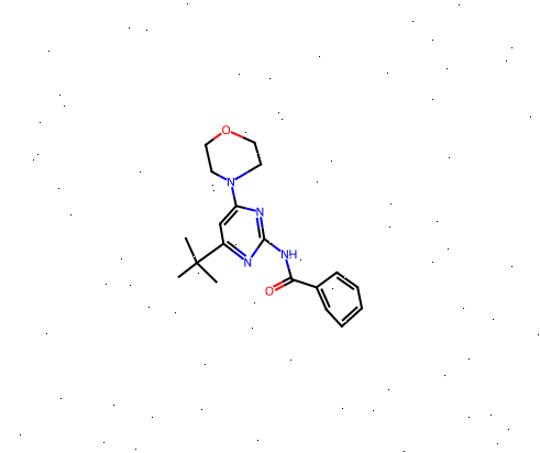 CC(C)(C)c1cc(N2CCOCC2)nc(NC(=O)c2ccccc2)n1